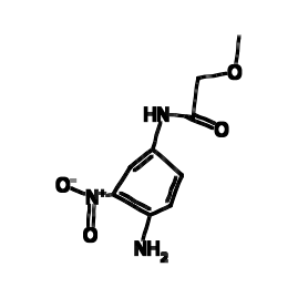 COCC(=O)Nc1ccc(N)c([N+](=O)[O-])c1